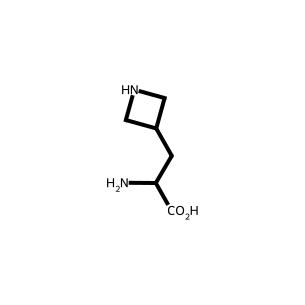 NC(CC1CNC1)C(=O)O